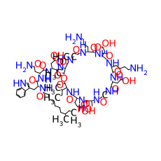 CCC(C)CCCCCCC(=O)NC(Cc1c[nH]c2ccccc12)C(=O)NC(CC(N)=O)C(=O)NC(CC(=O)O)C(=O)NC1C(=O)N(C)CC(=O)NC(CCCN)C(=O)NC(CC(=O)O)C(=O)NC(CCCCN)C(=O)NC(CC(=O)O)C(=O)NCC(=O)NC(CO)C(=O)NC(CCC(=O)O)C(=O)NC(C(C)CC)C(=O)OC1C